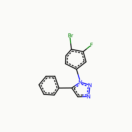 Fc1cc(-n2nncc2-c2ccccc2)ccc1Br